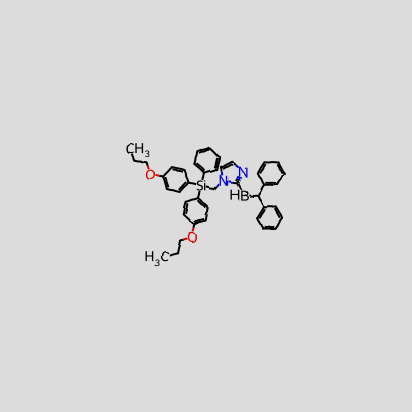 CCCOc1ccc([Si](Cn2ccnc2BC(c2ccccc2)c2ccccc2)(c2ccccc2)c2ccc(OCCC)cc2)cc1